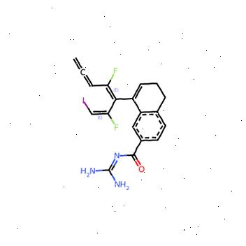 C=C=C/C(F)=C(C1=CCCc2ccc(C(=O)N=C(N)N)cc21)\C(F)=C/I